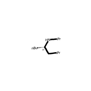 CCCC[C@@H](CC(C)C)NC(C)C